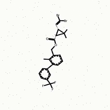 Cc1c(COC(=O)[C@@H]2[C@H](C=C(Br)Br)C2(C)C)cccc1-c1cccc(C(F)(F)F)c1